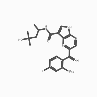 CNc1cc(F)ccc1C(=N)c1cnc2[nH]cc(C(=O)NC(C)CC(C)(C)O)c2n1